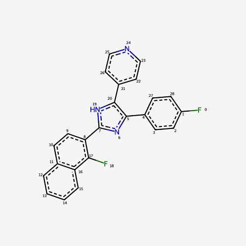 Fc1ccc(-c2nc(-c3ccc4ccccc4c3F)[nH]c2-c2ccncc2)cc1